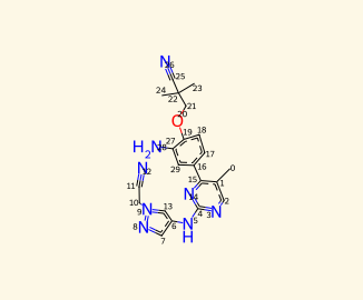 Cc1cnc(Nc2cnn(CC#N)c2)nc1-c1ccc(OCC(C)(C)C#N)c(N)c1